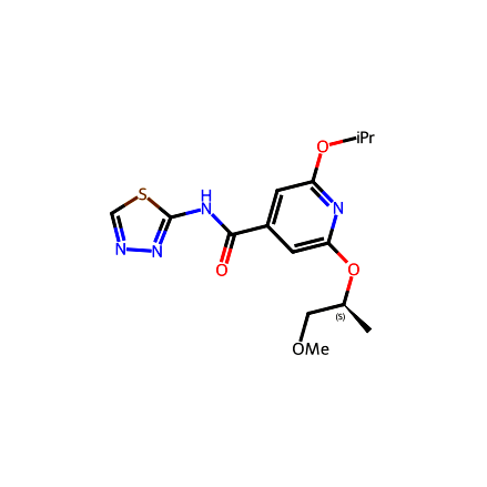 COC[C@H](C)Oc1cc(C(=O)Nc2nncs2)cc(OC(C)C)n1